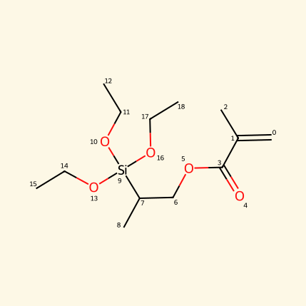 C=C(C)C(=O)OCC(C)[Si](OCC)(OCC)OCC